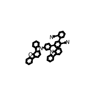 N#Cc1ccccc1-c1cc(-c2ccc(-n3c4ccccc4c4c5oc6ccccc6c5ccc43)cc2-n2c3ccccc3c3ccccc32)ccc1C#N